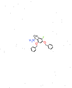 CC(N)c1cc(F)c(OCc2ccccc2)cc1OCc1ccccc1